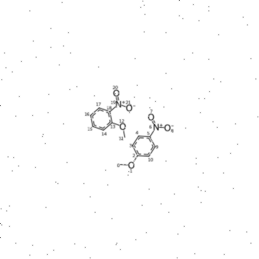 COc1ccc([N+](=O)[O-])cc1.COc1ccccc1[N+](=O)[O-]